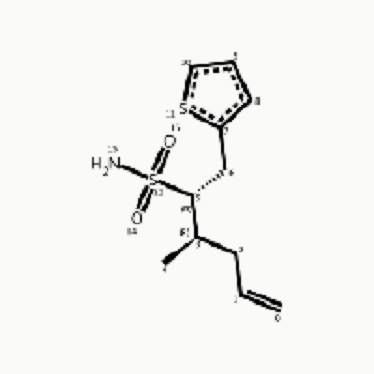 C=CC[C@@H](C)[C@@H](Cc1cccs1)S(N)(=O)=O